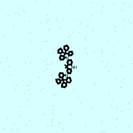 CC1(C)c2cc(N3C4=C(CCC=C4)C(c4ccccc4)(c4ccccc4)c4ccccc43)ccc2Nc2ccc(N3c4ccccc4C(c4ccccc4)(c4ccccc4)c4ccccc43)cc21